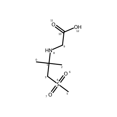 CC(C)(CS(C)(=O)=O)NCC(=O)O